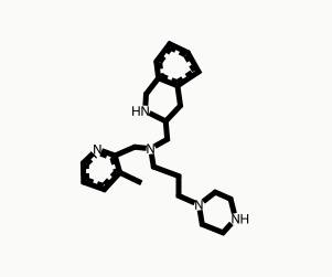 Cc1cccnc1CN(CCCN1CCNCC1)CC1Cc2ccccc2CN1